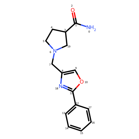 NC(=O)C1CCN(Cc2coc(-c3ccccc3)n2)C1